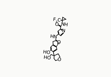 O=C(Cc1cc(O)c(C2(CO)CCOCC2)cc1F)Nc1ccnc(C(=O)NC2(C(F)(F)F)CC2)c1